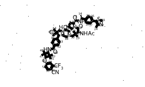 CC(=O)N[C@H](C(=O)N1C[C@H](O)C[C@H]1C(=O)N[C@@H](C)c1ccc(-c2scnc2C)cc1)C(C)(C)CN1CCN(CC2(Cc3ccc(C(=O)N[C@H]4C(C)(C)[C@H](Oc5ccc(C#N)c(C(F)(F)F)c5)C4(C)C)cc3)COC2)CC1